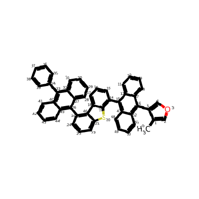 Cc1cocc1-c1c2ccccc2c(-c2cccc3c2sc2cccc(-c4c5ccccc5c(-c5ccccc5)c5ccccc45)c23)c2ccccc12